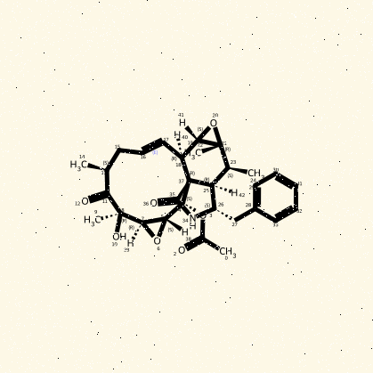 CC(=O)O[C@@H]1[C@@H]2O[C@H]2[C@@](C)(O)C(=O)[C@@H](C)C/C=C/[C@H]2[C@@H]3O[C@]3(C)[C@@H](C)[C@H]3[C@H](Cc4ccccc4)NC(=O)[C@@]312